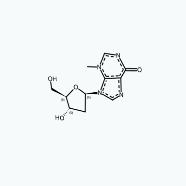 Cn1cnc(=O)c2ncn([C@H]3C[C@H](O)[C@@H](CO)O3)c21